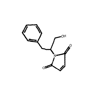 O=C1C=CC(=O)N1C(CO)Cc1ccccc1